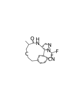 CC1CCCCc2ccc(C#N)c(c2)-c2c(cnn2C(F)F)NC1=O